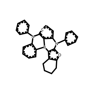 c1ccc(N2c3ccccc3B3c4c2cccc4N(c2ccccc2)c2oc4c(c23)CCCC4)cc1